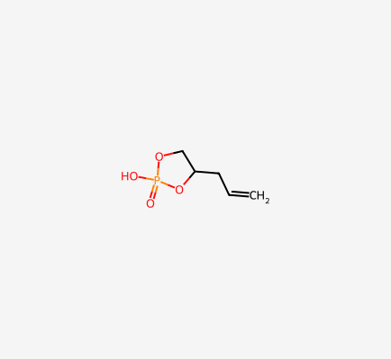 C=CCC1COP(=O)(O)O1